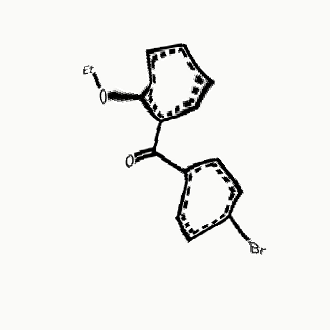 CCOc1ccccc1C(=O)c1ccc(Br)cc1